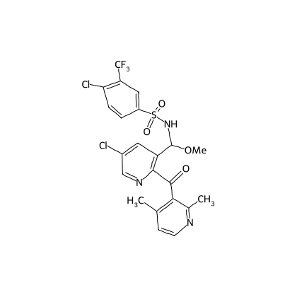 COC(NS(=O)(=O)c1ccc(Cl)c(C(F)(F)F)c1)c1cc(Cl)cnc1C(=O)c1c(C)ccnc1C